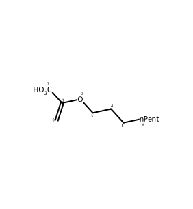 C=C(OCCCCCCCC)C(=O)O